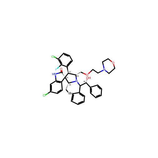 CC(C)(C)C[C@H]1N(C(c2ccccc2)[C@H](O)c2ccccc2)[C@@H](COCCN2CCOCC2)[C@H](c2cccc(Cl)c2F)[C@@]12C(=O)Nc1cc(Cl)ccc12